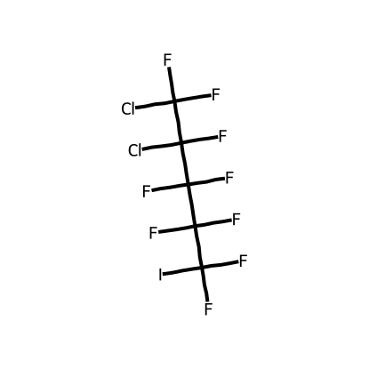 FC(F)(Cl)C(F)(Cl)C(F)(F)C(F)(F)C(F)(F)I